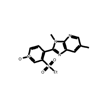 CCS(=O)(=O)c1c[n+]([O-])ccc1-c1nc2cc(C)cnc2n1C